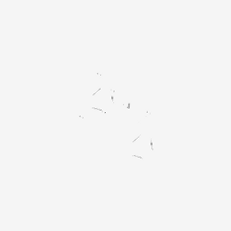 NC(CNc1nc(N2CCOCC2)c(F)c(N2CCOCC2)n1)c1ccccc1